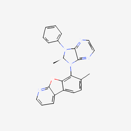 Cc1ccc2c(oc3ncccc32)c1N1c2nccnc2N(c2ccccc2)[C@@H]1C